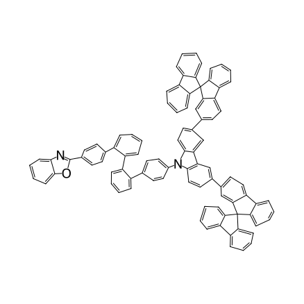 c1ccc(-c2ccccc2-c2ccc(-n3c4ccc(-c5ccc6c(c5)C5(c7ccccc7-c7ccccc75)c5ccccc5-6)cc4c4cc(-c5ccc6c(c5)C5(c7ccccc7-c7ccccc75)c5ccccc5-6)ccc43)cc2)c(-c2ccc(-c3nc4ccccc4o3)cc2)c1